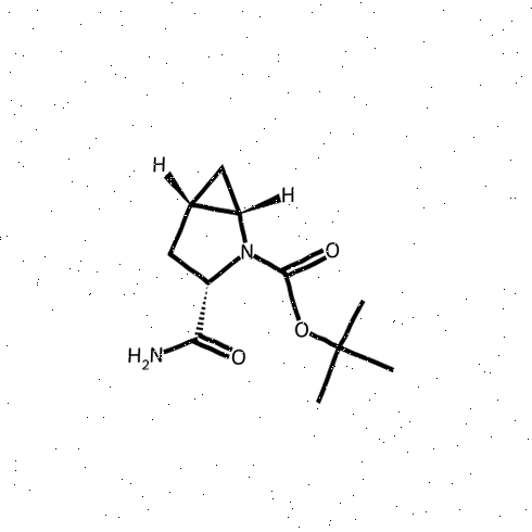 CC(C)(C)OC(=O)N1[C@H](C(N)=O)C[C@@H]2C[C@@H]21